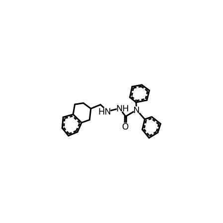 O=C(NNCC1CCc2ccccc2C1)N(c1ccccc1)c1ccccc1